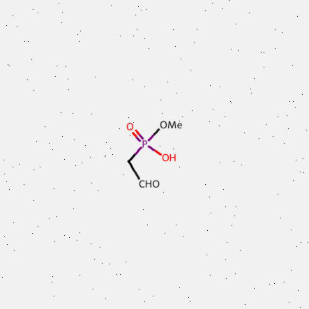 COP(=O)(O)CC=O